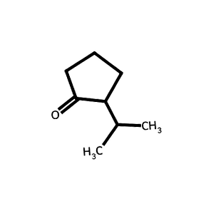 CC(C)C1CCCC1=O